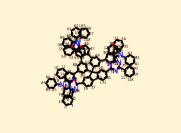 c1ccc(-c2nc(-c3ccccc3)nc(-c3ccc4c(c3)C(c3cc(-c5ccc6c(c5)c5ccccc5n6-c5ccccc5)cc(-c5ccc6c(c5)c5ccccc5n6-c5ccccc5)c3)(c3cc(-c5ccc6c(c5)c5ccccc5n6-c5ccccc5)cc(-c5ccc6c(c5)c5ccccc5n6-c5ccccc5)c3)c3cc(-c5nc(-c6ccccc6)nc(-c6ccccc6)n5)ccc3-4)n2)cc1